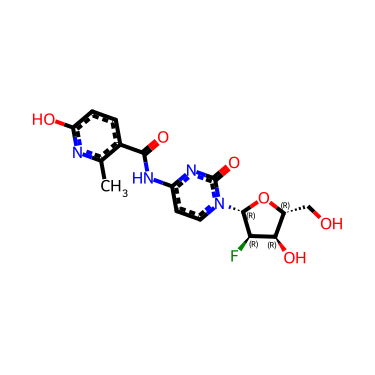 Cc1nc(O)ccc1C(=O)Nc1ccn([C@@H]2O[C@H](CO)[C@@H](O)[C@H]2F)c(=O)n1